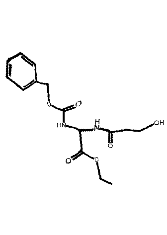 CCOC(=O)C(NC(=O)CCO)NC(=O)OCc1ccccc1